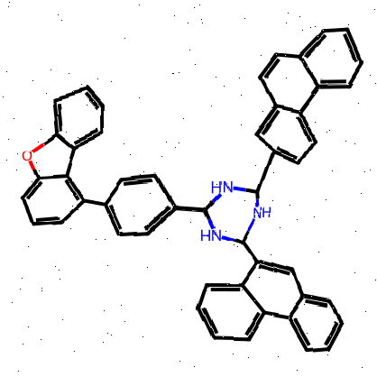 c1ccc2c(c1)ccc1cc(C3NC(c4ccc(-c5cccc6oc7ccccc7c56)cc4)NC(c4cc5ccccc5c5ccccc45)N3)ccc12